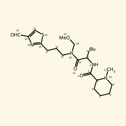 CCC(C)C(NC(=O)C1CCCCN1C)C(=O)N(CCCc1nc(C=O)cs1)COC